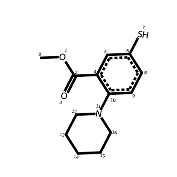 COC(=O)c1cc(S)ccc1N1CCCCC1